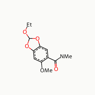 CCOC1Oc2cc(OC)c(C(=O)NC)cc2O1